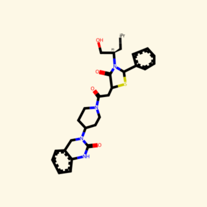 CC(C)C[C@H](CO)N1C(=O)C(CC(=O)N2CCC(N3Cc4ccccc4NC3=O)CC2)SC1c1ccccc1